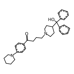 O=C(CCCN1CCC(C(O)(c2ccccc2)c2ccccc2)CC1)c1ccc(N2CCCCC2)cc1